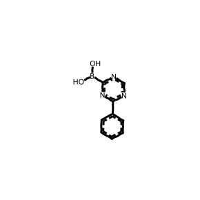 OB(O)c1ncnc(-c2ccccc2)n1